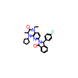 CCN1C(=O)C(C)N(C2CCCC2)c2nc(N3C(=O)c4ccccc4C3c3ccc(F)cc3)ccc21